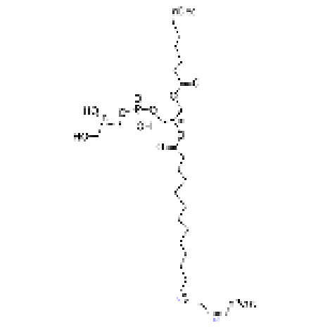 CCCCC/C=C\C/C=C\CCCCCCCCCCCC(=O)O[C@H](COC(=O)CCCCCCCCCCCCCCC)COP(=O)(O)OC[C@@H](O)CO